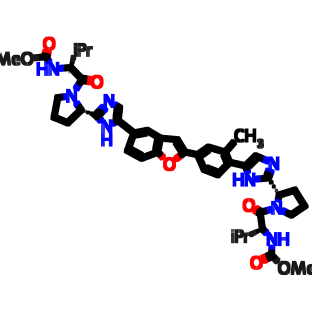 COC(=O)N[C@H](C(=O)N1CCC[C@H]1c1ncc(-c2ccc3oc(-c4ccc(-c5cnc([C@@H]6CCCN6C(=O)[C@@H](NC(=O)OC)C(C)C)[nH]5)c(C)c4)cc3c2)[nH]1)C(C)C